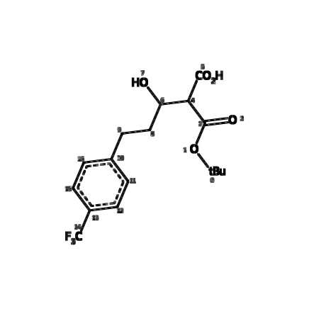 CC(C)(C)OC(=O)C(C(=O)O)C(O)CCc1ccc(C(F)(F)F)cc1